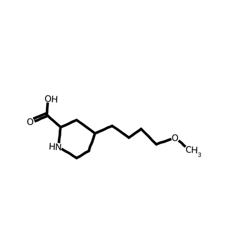 COCCCCC1CCNC(C(=O)O)C1